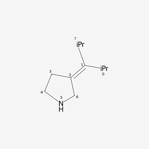 CC(C)C(=C1CCNC1)C(C)C